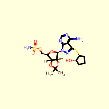 CC1(C)O[C@@H]2[C@H](O1)[C@@H](COS(N)(=O)=O)O[C@H]2n1nc(S[C@H]2CCC[C@@H]2O)c2c(N)ncnc21